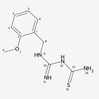 COc1ccccc1CNC(=N)NC(N)=S